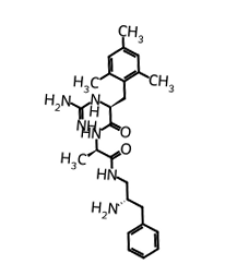 Cc1cc(C)c(C[C@H](NC(=N)N)C(=O)N[C@H](C)C(=O)NC[C@@H](N)Cc2ccccc2)c(C)c1